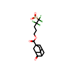 O=C1C2CC3CC1CC(C(=O)OCCCC(F)(F)C(F)(F)[SH](=O)=O)(C3)C2